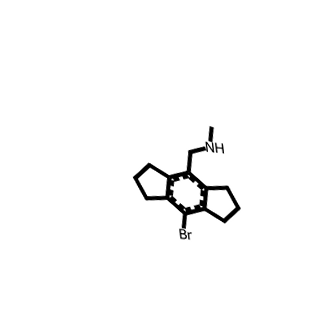 CNCc1c2c(c(Br)c3c1CCC3)CCC2